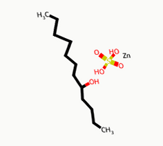 CCCCCCCC(O)CCCC.O=S(=O)(O)O.[Zn]